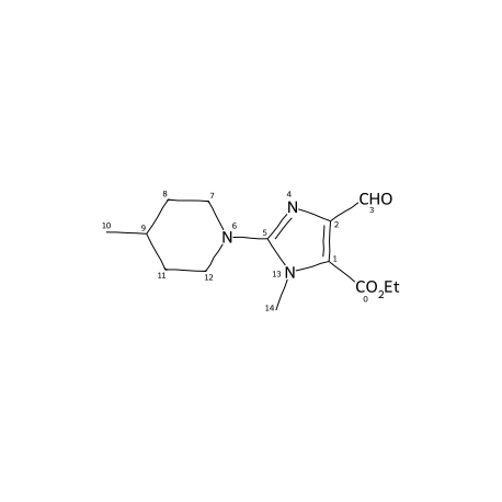 CCOC(=O)c1c(C=O)nc(N2CCC(C)CC2)n1C